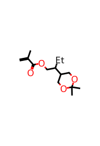 C=C(C)C(=O)OCC(CC)C1COC(C)(C)OC1